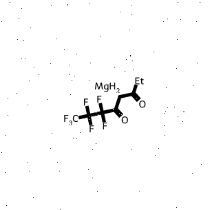 CCC(=O)CC(=O)C(F)(F)C(F)(F)C(F)(F)F.[MgH2]